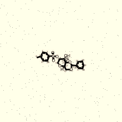 Cc1ccc(S(=O)(=O)O[C@H]2CO[C@@H]3COC(c4ccccc4)O[C@H]3[C@H]2O)cc1